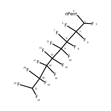 CCCCCC(F)C(F)(F)C(F)(F)C(F)(F)C(F)(F)C(F)(F)C(F)(F)[C](F)F